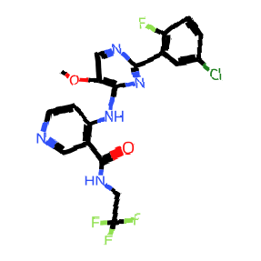 COc1cnc(-c2cc(Cl)ccc2F)nc1Nc1ccncc1C(=O)NCC(F)(F)F